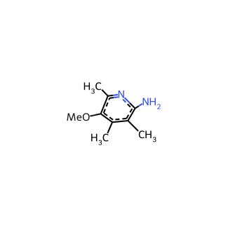 COc1c(C)nc(N)c(C)c1C